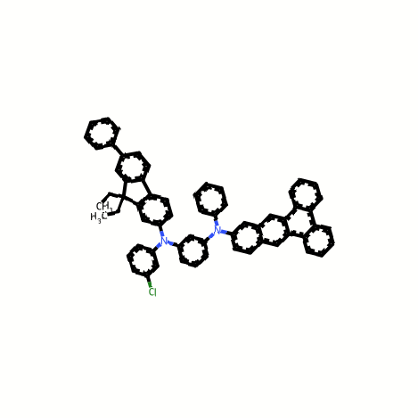 CCC1(CC)c2cc(-c3ccccc3)ccc2-c2ccc(N(c3cccc(Cl)c3)c3cccc(N(c4ccccc4)c4ccc5cc6c7ccccc7c7ccccc7c6cc5c4)c3)cc21